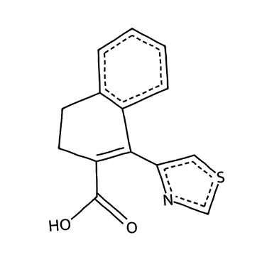 O=C(O)C1=C(c2cscn2)c2ccccc2CC1